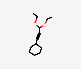 CCOC(C#CC1CCCCC1)OCC